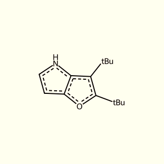 CC(C)(C)c1oc2cc[nH]c2c1C(C)(C)C